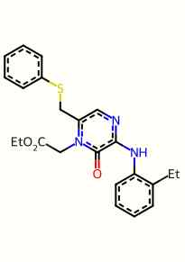 CCOC(=O)Cn1c(CSc2ccccc2)cnc(Nc2ccccc2CC)c1=O